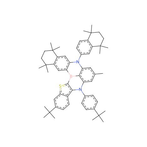 Cc1cc2c3c(c1)N(c1ccc(C(C)(C)C)cc1)c1c(sc4cc(C(C)(C)C)ccc14)B3c1cc3c(cc1N2c1ccc2c(c1)C(C)(C)CCC2(C)C)C(C)(C)CCC3(C)C